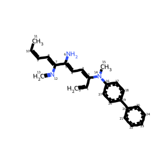 C=C\C(=C/C=C(N)/C(=C/C=C\C)N=C)N(C)c1ccc(-c2ccccc2)cc1